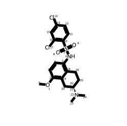 COc1ccc(NS(=O)(=O)c2ccc(Cl)cc2Cl)c2c1C[C@@H](N(C)C)CC2